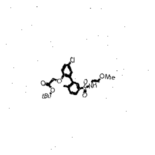 COCCNS(=O)(=O)c1ccc(C)c(-c2cc(Cl)ccc2OCC(=O)OC(C)(C)C)c1